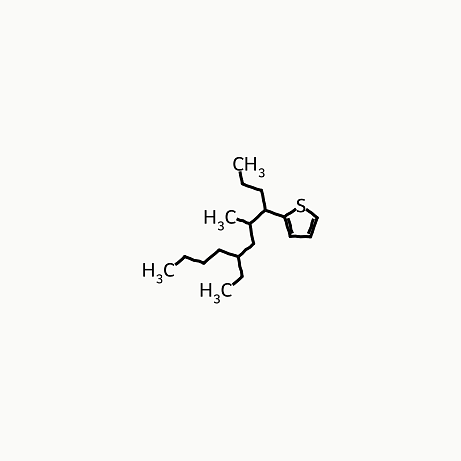 CCCCC(CC)CC(C)C(CCC)c1cccs1